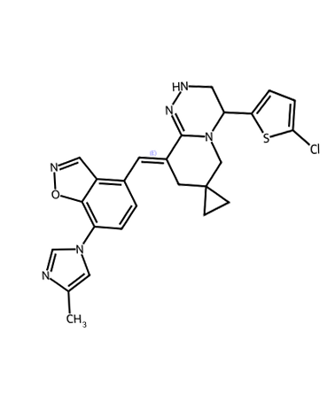 Cc1cn(-c2ccc(/C=C3\CC4(CC4)CN4C3=NNCC4c3ccc(Cl)s3)c3cnoc23)cn1